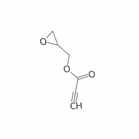 C#CC(=O)OCC1CO1